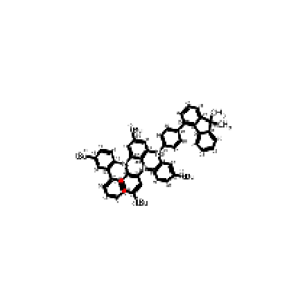 CC(C)(C)c1ccc2c(c1)B1c3ccc(C(C)(C)C)cc3N(c3ccc(-c4cccc5c4-c4ccccc4C5(C)C)cc3)c3cc(C(C)(C)C)cc(c31)N2c1ccc(C(C)(C)C)cc1-c1ccccc1